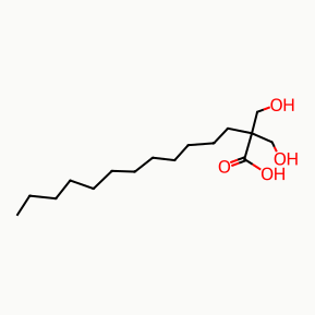 CCCCCCCCCCCCC(CO)(CO)C(=O)O